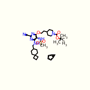 CC(C)(C)OC(=O)N1CCC(CCOc2nc(C#N)nc(NCC3CCC4(CCC4)CC3)c2NS(C)(=O)=O)CC1.c1cc2cc-2c1